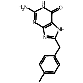 Cc1ccc(Cc2nc3nc(N)[nH]c(=O)c3[nH]2)cc1